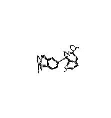 COc1cc2ccsc2c(-c2ccc3c(cnn3C)c2)n1